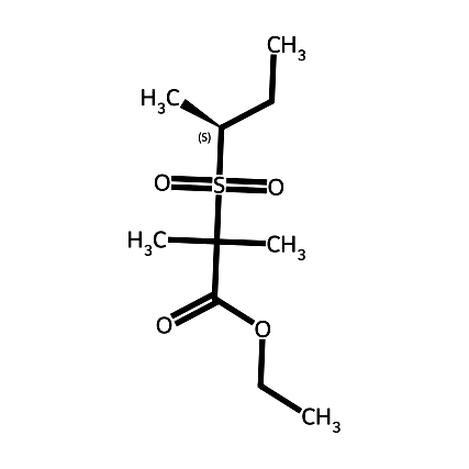 CCOC(=O)C(C)(C)S(=O)(=O)[C@@H](C)CC